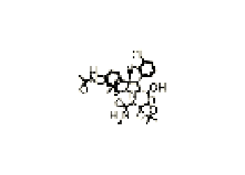 CC(=O)NCCC(C)(C)C[C@@H]1N(C(C(N)=O)[C@H]2COC(C)(C)O2)[C@@H](C(=O)O)[C@H](c2cccc(Cl)c2F)[C@@]1(C#N)c1ccc(Cl)cc1F